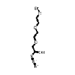 CCOCCOCCOCC(O)N=[N+]=[N-]